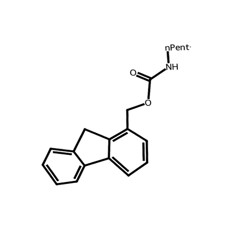 CCCC[CH]NC(=O)OCc1cccc2c1Cc1ccccc1-2